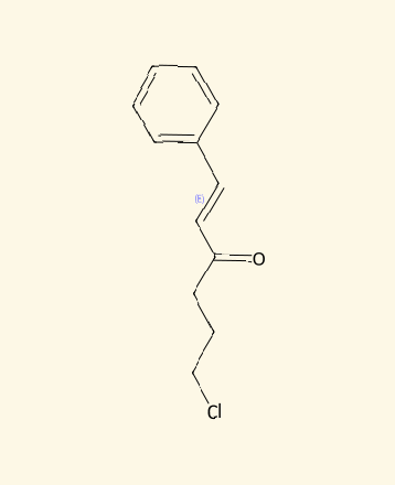 O=C(/C=C/c1ccccc1)CCCCl